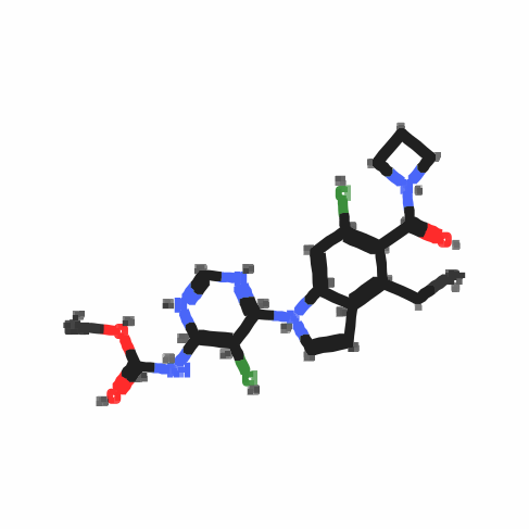 CC(C)Cc1c(C(=O)N2CCC2)c(Cl)cc2c1ccn2-c1ncnc(NC(=O)OC(C)(C)C)c1Cl